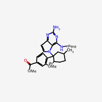 CCCCCNc1nc(N)nc2ccn(C3(c4ccc(C(=O)OC)cc4OC)CC(C)CCC3C(C)C)c12